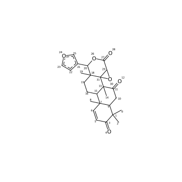 CC1(C)C(=O)C=CC2(C)C1CC(=O)C1(C)C2CCC2(C)C(c3ccoc3)OC(=O)C3OC321